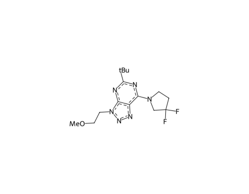 COCCn1nnc2c(N3CCC(F)(F)C3)nc(C(C)(C)C)nc21